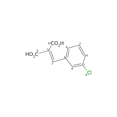 O=C(O)C(=Cc1cccc(Cl)c1)C(=O)O